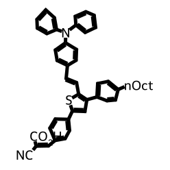 CCCCCCCCc1ccc(-c2cc(-c3ccc(C=C(C#N)C(=O)O)cc3)sc2C=Cc2ccc(N(c3ccccc3)c3ccccc3)cc2)cc1